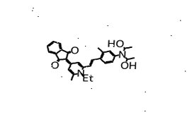 CCN1C(C)=CC(=C2C(=O)c3ccccc3C2=O)C=C1C=Cc1ccc(N(C(C)O)C(C)O)cc1C